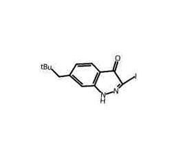 CC(C)(C)Cc1ccc2c(=O)c(I)n[nH]c2c1